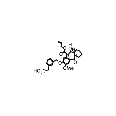 C=CCOC(=O)N1c2cc(OCc3cccc(CC(=O)O)c3)c(OC)cc2C(=O)N2CCCC[C@H]2C1O